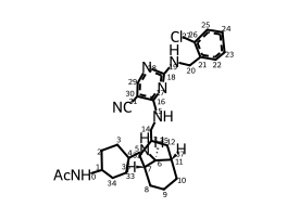 CC(=O)NC1CCC(N[C@@H]2[C@@H]3CCC[C@H]2CC(CNc2nc(NCc4ccccc4Cl)ncc2C#N)C3)CC1